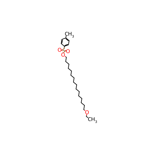 CCOCCCCCCCCCCCCCCCCOS(=O)(=O)c1ccc(C)cc1